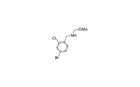 COCNCc1ccc(Br)cc1Cl